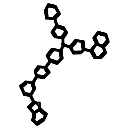 c1ccc(-c2ccc(N(c3ccc(-c4ccc(-c5cccc(-c6cc7ccccc7o6)c5)cc4)cc3)c3ccc(-c4cccc5ccccc45)cc3)cc2)cc1